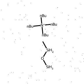 CCCC[N+](CCCC)(CCCC)CCCC.C[SiH2]O[SiH3]